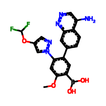 COc1cc(-n2cc(OC(F)F)cn2)c(-c2ccc3c(N)cnnc3c2)cc1B(O)O